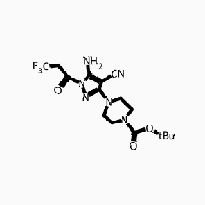 CC(C)(C)OC(=O)N1CCN(c2nn(C(=O)CC(F)(F)F)c(N)c2C#N)CC1